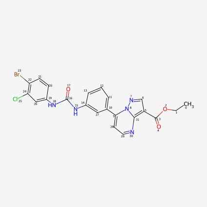 CCOC(=O)c1cnn2c(-c3cccc(NC(=O)Nc4ccc(Br)c(Cl)c4)c3)ccnc12